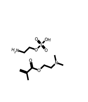 C=C(C)C(=O)OCCN(C)C.NCCOS(=O)(=O)O